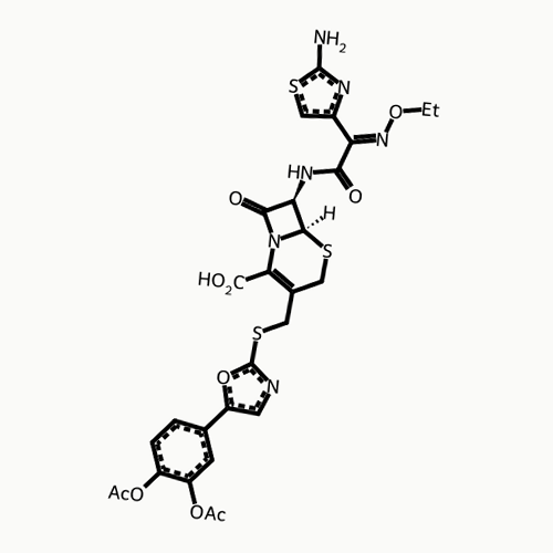 CCO/N=C(/C(=O)N[C@@H]1C(=O)N2C(C(=O)O)=C(CSc3ncc(-c4ccc(OC(C)=O)c(OC(C)=O)c4)o3)CS[C@H]12)c1csc(N)n1